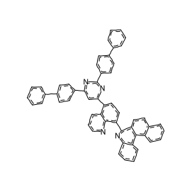 c1ccc(-c2ccc(-c3cc(-c4ccc(-c5nc6ccccc6c6c5ccc5ccccc56)c5ncccc45)nc(-c4ccc(-c5ccccc5)cc4)n3)cc2)cc1